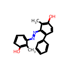 Cc1c(O)cccc1N=Nc1c(-c2ccccc2)ccc(O)c1C